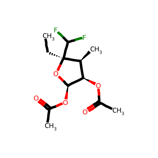 CC[C@@]1(C(F)F)O[C@H](OC(C)=O)[C@H](OC(C)=O)[C@@H]1C